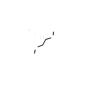 COCCOC.Cl.Cl.Cl